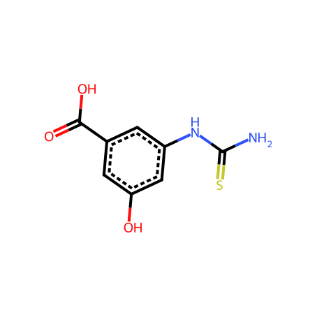 NC(=S)Nc1cc(O)cc(C(=O)O)c1